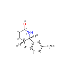 COc1ccc2c(c1)[C@H]1NC(=O)CC[C@H]1C2